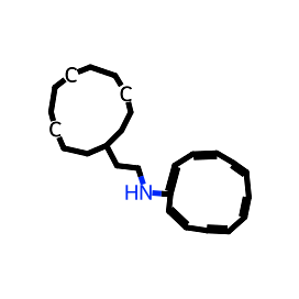 C1=C\C=C/C=C\C(NCCC2CCCCCCCCCCC2)=C/C=C\C=C/1